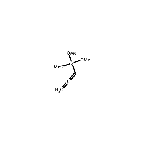 C=C=C[Si](OC)(OC)OC